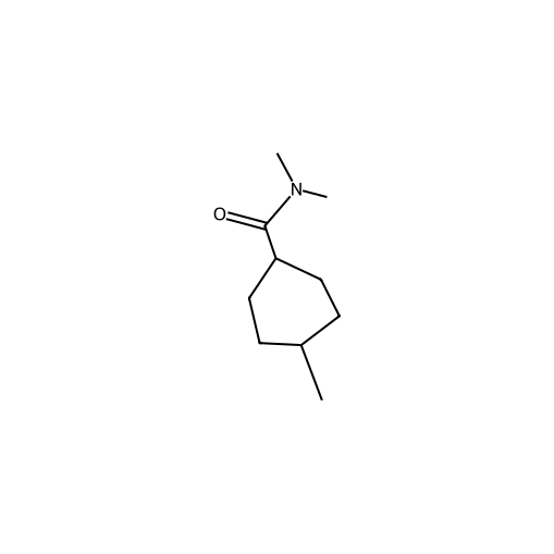 CC1CCC(C(=O)N(C)C)CC1